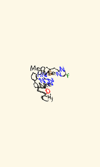 COCC(Cc1ncc(F)cn1)SNc1nnc(-c2ccc(C)o2)n1-c1c(OC)cccc1OC